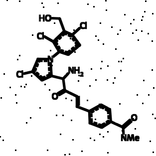 CNC(=O)c1ccc(/C=C/C(=O)C(N)c2cc(Cl)cn2-c2ccc(Cl)c(CO)c2Cl)cc1